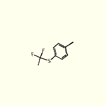 Cc1ccc(SC(C)(F)F)cc1